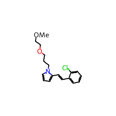 COCCOCCCn1cccc1C=Cc1ccccc1Cl